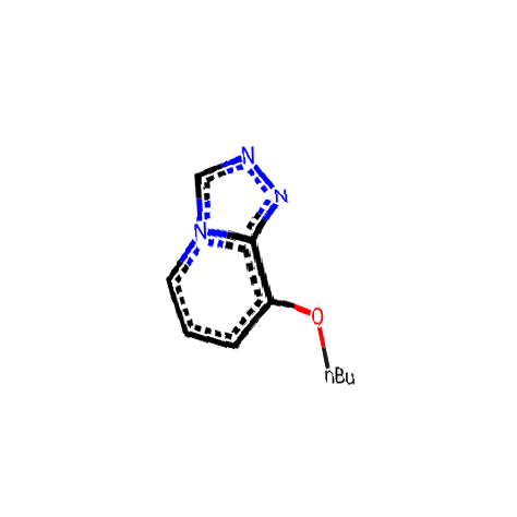 CCCCOc1cccn2cnnc12